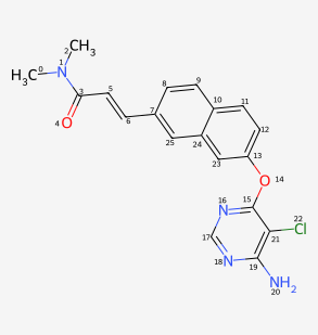 CN(C)C(=O)C=Cc1ccc2ccc(Oc3ncnc(N)c3Cl)cc2c1